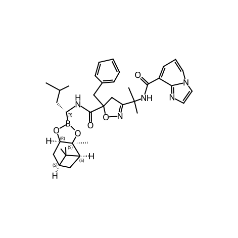 CC(C)C[C@H](NC(=O)C1(Cc2ccccc2)CC(C(C)(C)NC(=O)c2cccn3ccnc23)=NO1)B1O[C@@H]2C[C@@H]3C[C@@H](C3(C)C)[C@]2(C)O1